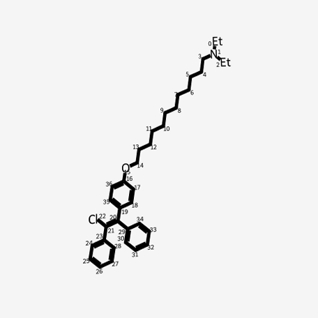 CCN(CC)CCCCCCCCCCCCOc1ccc(C(=C(Cl)c2ccccc2)c2ccccc2)cc1